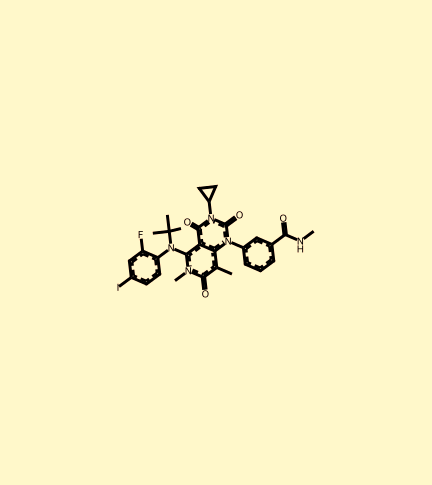 CNC(=O)c1cccc(-n2c(=O)n(C3CC3)c(=O)c3c(N(c4ccc(I)cc4F)C(C)(C)C)n(C)c(=O)c(C)c32)c1